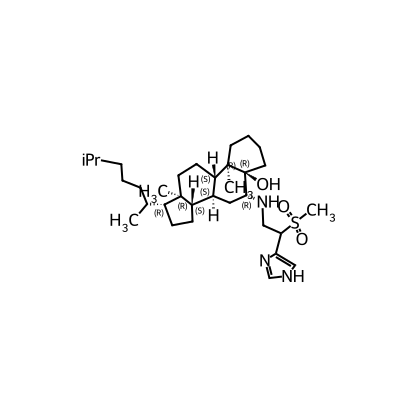 CC(C)CCCC(C)[C@H]1CC[C@H]2[C@@H]3C[C@@H](NCC(c4c[nH]cn4)S(C)(=O)=O)[C@@]4(O)CCCC[C@]4(C)[C@H]3CC[C@]12C